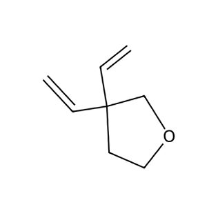 C=CC1(C=C)CCOC1